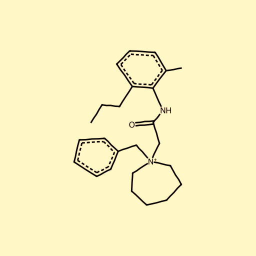 CCCc1cccc(C)c1NC(=O)C[N+]1(Cc2ccccc2)CCCCCC1